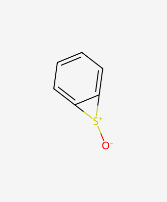 [O-][S+]1c2ccccc21